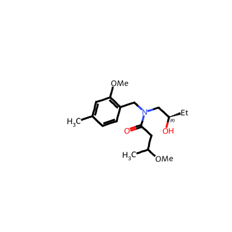 CC[C@@H](O)CN(Cc1ccc(C)cc1OC)C(=O)CC(C)OC